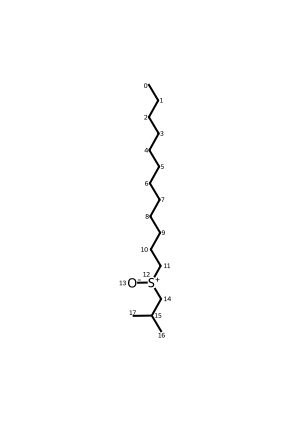 CCCCCCCCCCCC[S+]([O-])CC(C)C